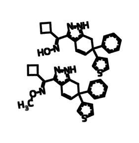 CON=C(c1n[nH]c2c1C=CC(c1ccccc1)(c1ccsc1)C2)C1CCC1.ON=C(c1n[nH]c2c1C=CC(c1ccccc1)(c1ccsc1)C2)C1CCC1